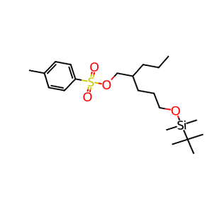 CCCC(CCCO[Si](C)(C)C(C)(C)C)COS(=O)(=O)c1ccc(C)cc1